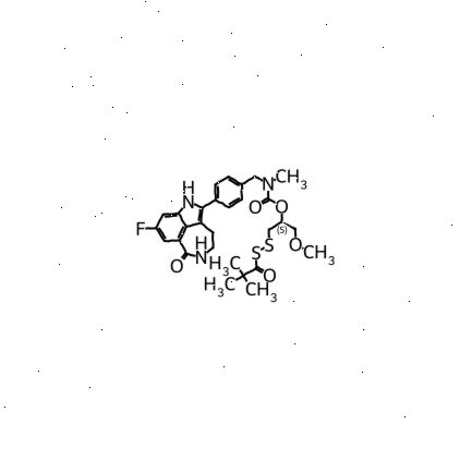 COC[C@@H](CSSC(=O)C(C)(C)C)OC(=O)N(C)Cc1ccc(-c2[nH]c3cc(F)cc4c3c2CCNC4=O)cc1